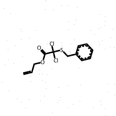 C=CCOC(=O)C(Cl)(Cl)SCc1ccccc1